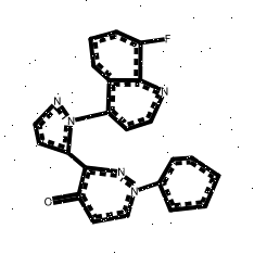 O=c1ccn(-c2ccccc2)nc1-c1ccnn1-c1ccnc2c(F)cccc12